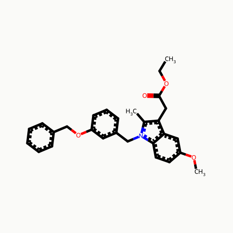 CCOC(=O)Cc1c(C)n(Cc2cccc(OCc3ccccc3)c2)c2ccc(OC)cc12